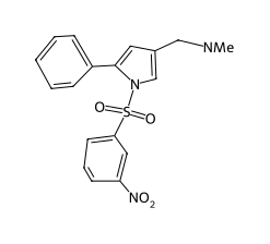 CNCc1cc(-c2ccccc2)n(S(=O)(=O)c2cccc([N+](=O)[O-])c2)c1